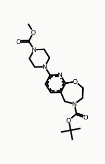 COC(=O)N1CCN(c2ccc3c(n2)OCCN(C(=O)OC(C)(C)C)C3)CC1